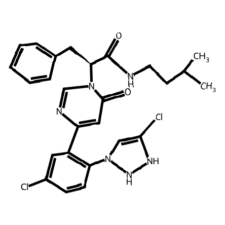 CC(C)CCNC(=O)[C@H](Cc1ccccc1)n1cnc(-c2cc(Cl)ccc2N2C=C(Cl)NN2)cc1=O